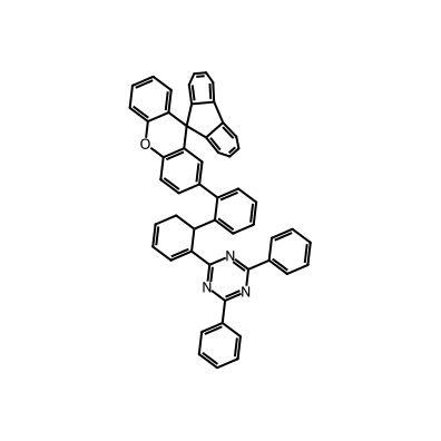 C1=CCC(c2ccccc2-c2ccc3c(c2)C2(c4ccccc4O3)c3ccccc3-c3ccccc32)C(c2nc(-c3ccccc3)nc(-c3ccccc3)n2)=C1